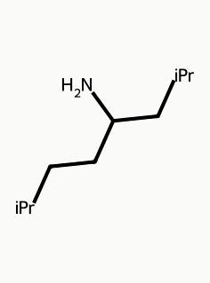 CC(C)CCC(N)CC(C)C